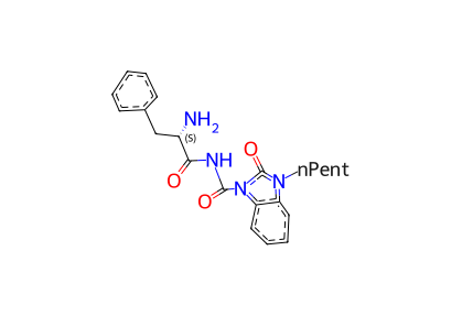 CCCCCn1c(=O)n(C(=O)NC(=O)[C@@H](N)Cc2ccccc2)c2ccccc21